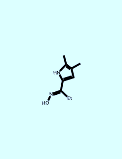 CC/C(=N\O)c1cc(C)c(C)[nH]1